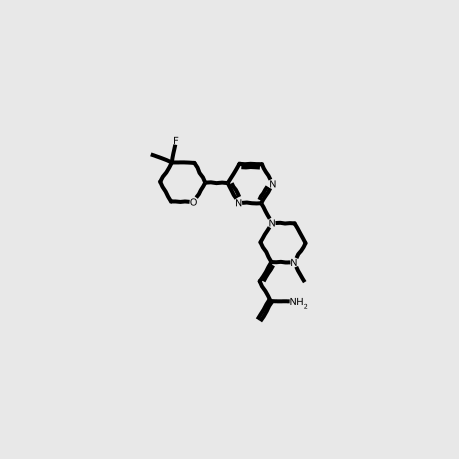 C=C(N)/C=C1/CN(c2nccc(C3CC(C)(F)CCO3)n2)CCN1C